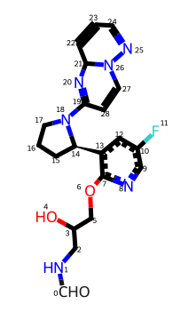 O=CNCC(O)COc1ncc(F)cc1[C@H]1CCCN1C1=NC2C#CC=NN2C=C1